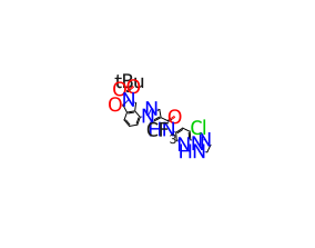 CC(C)(C)OC(=O)N1Cc2c(cccc2-n2ncc(C(=O)Nc3cnc(N4N=CCN4)c(Cl)c3)c2C(F)(F)F)C1=O